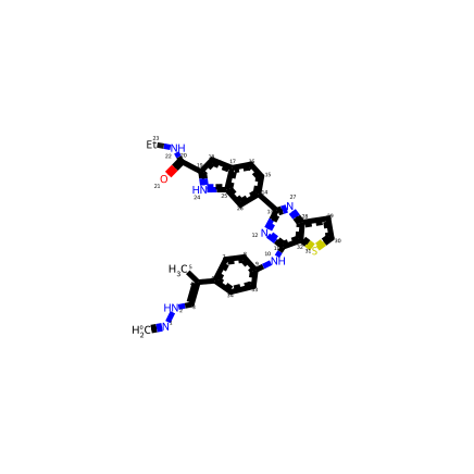 C=NN/C=C(\C)c1ccc(Nc2nc(-c3ccc4cc(C(=O)NCC)[nH]c4c3)nc3ccsc23)cc1